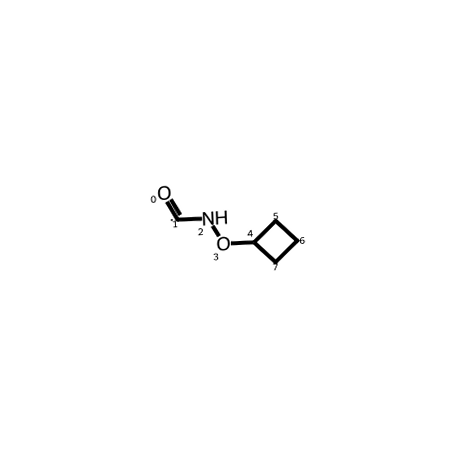 O=[C]NOC1CCC1